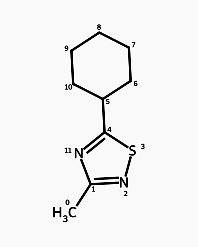 Cc1nsc(C2CCCCC2)n1